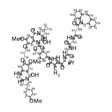 COc1ccc(C2=CN3C(O)c4cc(OC)c(OCCCOc5cc6c(cc5OC)C(=O)N5CC7(CC7)C[C@H]5C(O)N6C(=O)OCc5ccc(NC(=O)[C@H](C)NC(=O)[C@H](NC(=O)CNC(=O)CNC(=O)CCC(=O)N6Cc7ccccc7C#Cc7ccccc76)C(C)C)cc5)cc4NC[C@@H]3C2)cc1